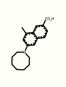 Cc1cc(N2CCCCCCC2)cc2ccc(C(=O)O)cc12